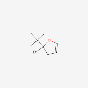 CCC1([Si](C)(C)C)CC=CO1